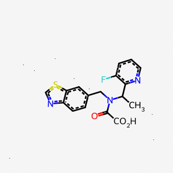 CC(c1ncccc1F)N(Cc1ccc2ncsc2c1)C(=O)C(=O)O